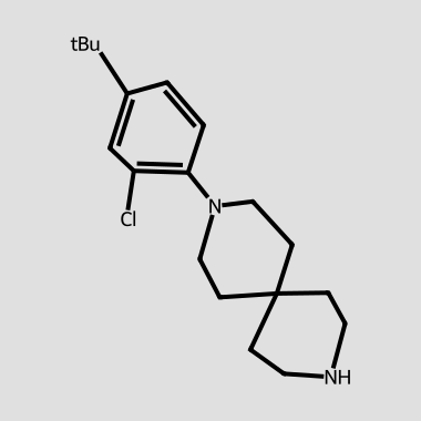 CC(C)(C)c1ccc(N2CCC3(CCNCC3)CC2)c(Cl)c1